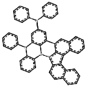 c1ccc(N(c2ccccc2)c2cc3c4c(c2)N(c2ccccc2)c2ccccc2B4n2c4ccc5ccccc5c4c4c5ccccc5cc-3c42)cc1